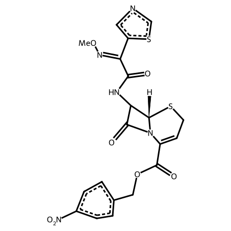 CON=C(C(=O)NC1C(=O)N2C(C(=O)OCc3ccc([N+](=O)[O-])cc3)=CCS[C@@H]12)c1cncs1